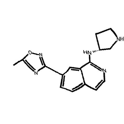 Cc1nc(-c2ccc3ccnc(N[C@@H]4CCNC4)c3c2)no1